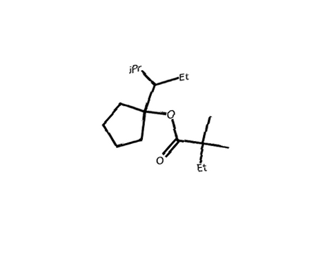 CCC(C(C)C)C1(OC(=O)C(C)(C)CC)CCCC1